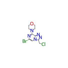 ClCc1nnc2c(N3CCOCC3)nc(Br)cn12